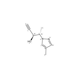 C#C[C@H](O)[C@H](C)n1cc(C)cn1